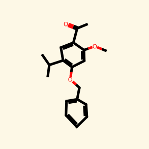 COc1cc(OCc2ccccc2)c(C(C)C)cc1C(C)=O